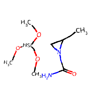 CC1CN1C(N)=O.CO[SiH](OC)OC